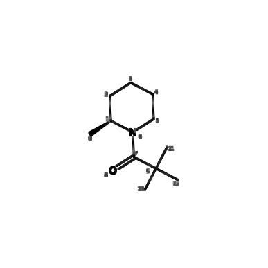 C[C@H]1CCCCN1C(=O)C(C)(C)C